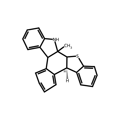 CC12Nc3ccccc3C1c1ccccc1[C@@H]1c3ccccc3SC12